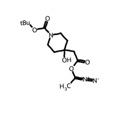 CC(=[N+]=[N-])OC(=O)CC1(O)CCN(C(=O)OC(C)(C)C)CC1